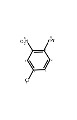 C[CH]Cc1ccc(Cl)cc1[N+](=O)[O-]